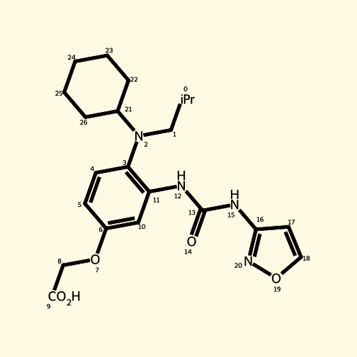 CC(C)CN(c1ccc(OCC(=O)O)cc1NC(=O)Nc1ccon1)C1CCCCC1